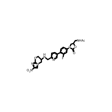 CC(=O)NCC1CN(c2ccc(-c3ccc(CNC4COc5nc([N+](=O)[O-])cn5C4)nc3)c(F)c2)C(=O)O1